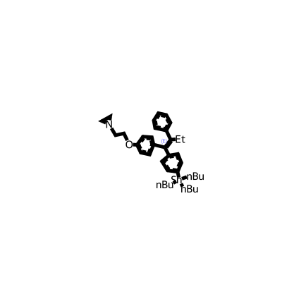 CCC[CH2][Sn]([CH2]CCC)([CH2]CCC)[c]1ccc(/C(=C(\CC)c2ccccc2)c2ccc(OCCN3CC3)cc2)cc1